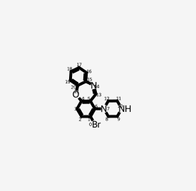 Brc1ccc2c(c1N1CCNCC1)C=Nc1ccccc1O2